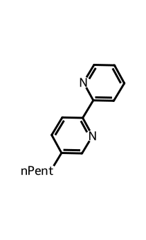 CCCCCc1ccc(-c2ccccn2)nc1